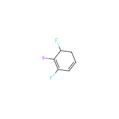 FC1=C(I)C(F)CC=C1